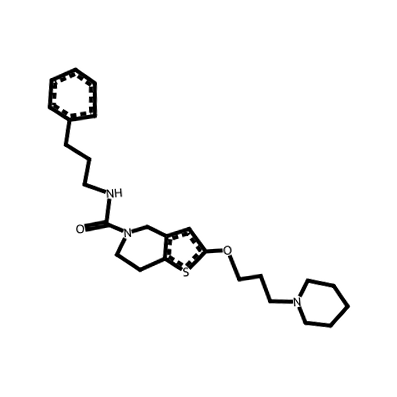 O=C(NCCCc1ccccc1)N1CCc2sc(OCCCN3CCCCC3)cc2C1